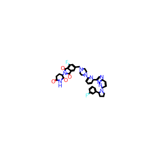 O=C1CCC(N2C(=O)c3cc(CN4CCN(c5cccc(-c6cnc7ccc(N8CCCC8c8cccc(F)c8)nn67)n5)CC4)cc(F)c3C2=O)C(=O)N1